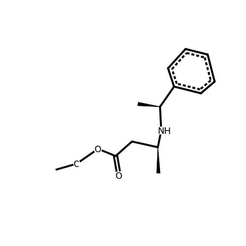 CCOC(=O)C[C@H](C)N[C@@H](C)c1ccccc1